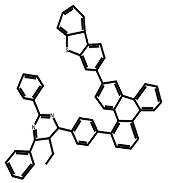 CCC1C(c2ccccc2)=NC(c2ccccc2)=NC1c1ccc(-c2cccc3c4ccccc4c4cc(-c5ccc6c(c5)sc5ccccc56)ccc4c23)cc1